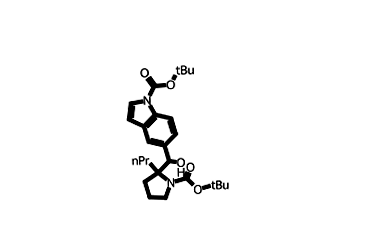 CCCC1(C(O)c2ccc3c(ccn3C(=O)OC(C)(C)C)c2)CCCN1C(=O)OC(C)(C)C